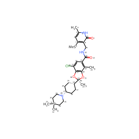 CSc1cc(C)[nH]c(=O)c1CNC(=O)c1cc(Cl)c2c(c1C)O[C@@](C)([C@H]1CC[C@@H](N3CC[Si](C)(C)CC3)CC1)O2